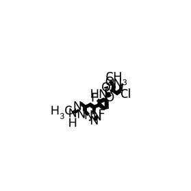 CNc1ncc2cc(-c3c(F)ccc(NS(=O)(=O)c4cc(Cl)cnc4OC)c3F)c3nncn3c2n1